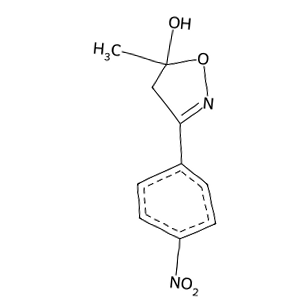 CC1(O)CC(c2ccc([N+](=O)[O-])cc2)=NO1